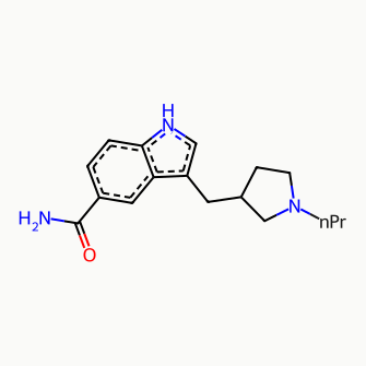 CCCN1CCC(Cc2c[nH]c3ccc(C(N)=O)cc23)C1